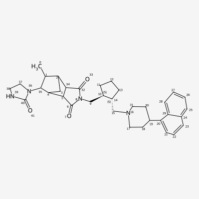 CC1C2CC(C3C(=O)N(C[C@H]4CCC[C@@H]4CN4CCC(c5cccc6ccccc56)CC4)C(=O)C23)C1N1CCNC1=O